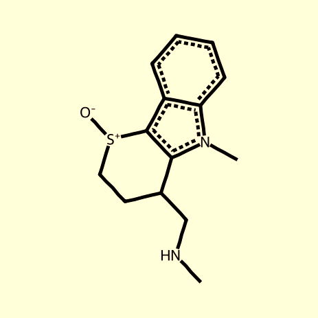 CNCC1CC[S+]([O-])c2c1n(C)c1ccccc21